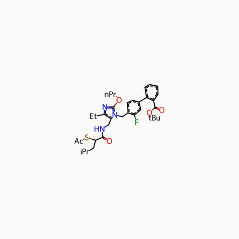 CCCOc1nc(CC)c(CNC(=O)C(CC(C)C)SC(C)=O)n1Cc1ccc(-c2ccccc2C(=O)OC(C)(C)C)cc1F